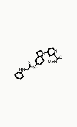 CNC(=O)c1cc(-n2ccc3cc(NC(=S)CNc4ccccc4)ccc32)ccn1